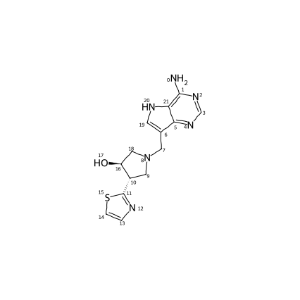 Nc1ncnc2c(CN3C[C@H](c4nccs4)[C@@H](O)C3)c[nH]c12